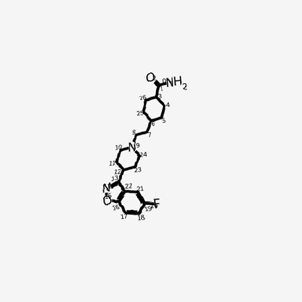 NC(=O)C1CCC(CCN2CCC(c3noc4ccc(F)cc34)CC2)CC1